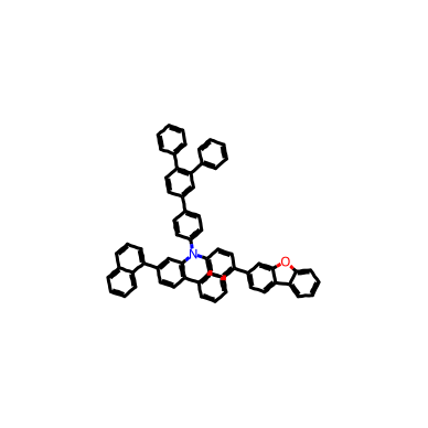 c1ccc(-c2ccc(-c3ccc(N(c4ccc(-c5ccc6c(c5)oc5ccccc56)cc4)c4cc(-c5cccc6ccccc56)ccc4-c4ccccc4)cc3)cc2-c2ccccc2)cc1